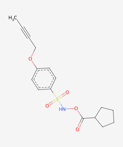 CC#CCOc1ccc(S(=O)(=O)NOC(=O)C2CCCC2)cc1